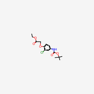 CCOC(=O)COc1ccc(NC(=O)OC(C)(C)C)cc1Cl